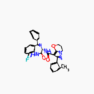 Cc1ccccc1-c1nn2c(c1C(=O)N[C@H]1N=C(c3ccccc3)c3cccc(F)c3NC1=O)OCCC2